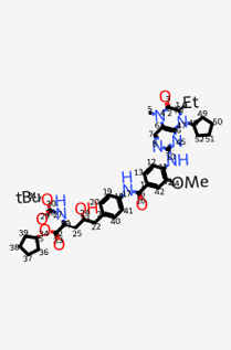 CC[C@@H]1C(=O)N(C)c2cnc(Nc3ccc(C(=O)Nc4ccc(CC(O)C[C@H](NC(=O)OC(C)(C)C)C(=O)OC5CCCC5)cc4)cc3OC)nc2N1C1CCCC1